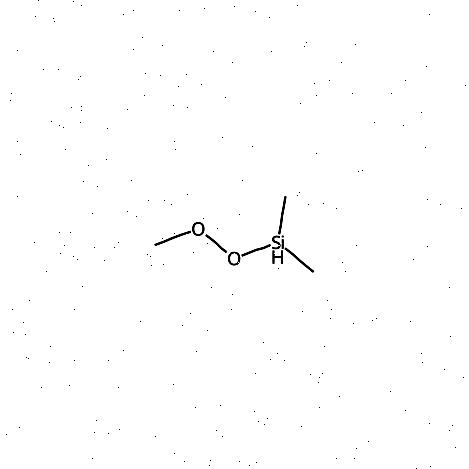 COO[SiH](C)C